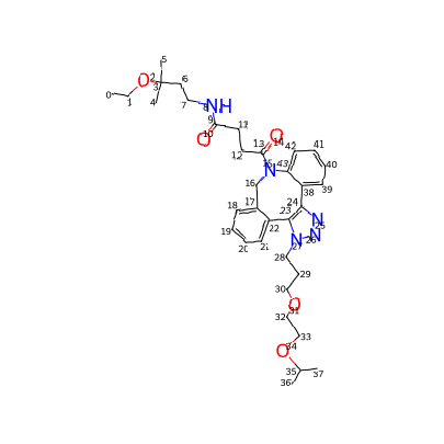 CCOC(C)(C)CCNC(=O)CCC(=O)N1Cc2ccccc2-c2c(nnn2CCCOCCOC(C)C)-c2ccccc21